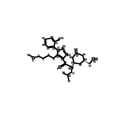 COCCCCc1c(C(=O)N(CC(C)C)[C@@H]2CNC[C@H](CO)C2)nnn1-c1ccccc1F